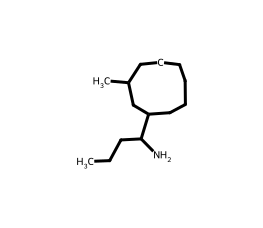 CCCC(N)C1CCCCCCC(C)C1